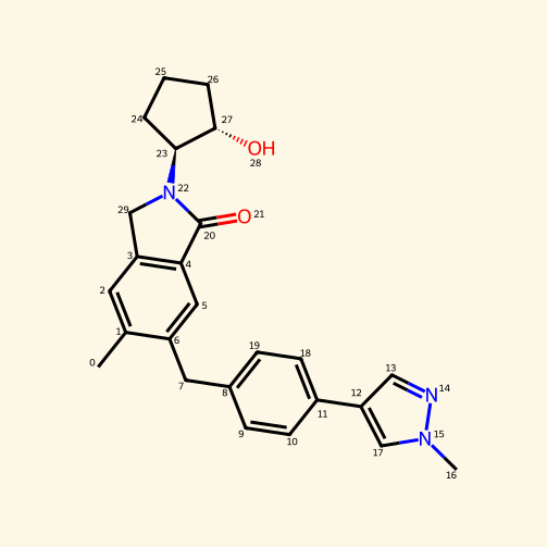 Cc1cc2c(cc1Cc1ccc(-c3cnn(C)c3)cc1)C(=O)N([C@H]1CCC[C@@H]1O)C2